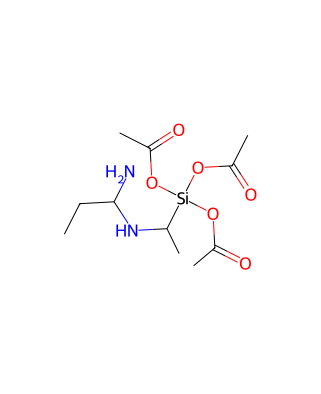 CCC(N)NC(C)[Si](OC(C)=O)(OC(C)=O)OC(C)=O